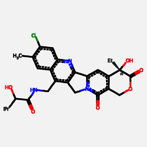 CC[C@@]1(O)C(=O)OCc2c1cc1n(c2=O)Cc2c-1nc1cc(Cl)c(C)cc1c2CNC(=O)C(O)C(C)C